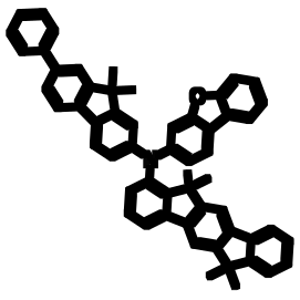 CC1(C)c2cc(-c3ccccc3)ccc2-c2ccc(N(c3ccc4c(c3)oc3ccccc34)c3cccc4c3C(C)(C)c3cc5c(cc3-4)C(C)(C)c3ccccc3-5)cc21